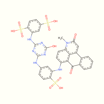 Cn1c(=O)cc2c3c(c(Nc4cc(Nc5nc(O)nc(Nc6cc(S(=O)(=O)O)ccc6S(=O)(=O)O)n5)ccc4S(=O)(=O)O)ccc31)C(=O)c1ccccc1-2